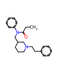 CCC(=O)N(CC1CCCN(CCc2ccccc2)C1)c1ccccc1